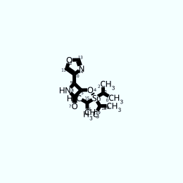 CC(C)[Si](OC1C(=O)NC1c1cocn1)(C(C)C)C(C)C